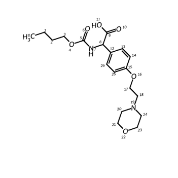 CCCCOC(=O)NC(C(=O)O)c1ccc(OCCN2CCOCC2)cc1